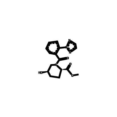 COC(=O)[C@@H]1CC[C@@H](O)CN1C(=O)c1ccccc1-n1nccn1